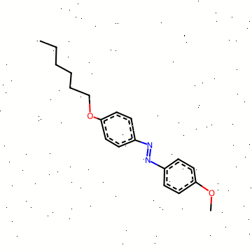 [CH2]CCCCCOc1ccc(N=Nc2ccc(OC)cc2)cc1